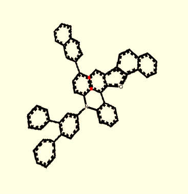 c1ccc(-c2ccc(N(c3ccc(-c4ccc5ccccc5c4)cc3)c3ccccc3-c3cccc4c3oc3c5ccccc5ccc43)cc2-c2ccccc2)cc1